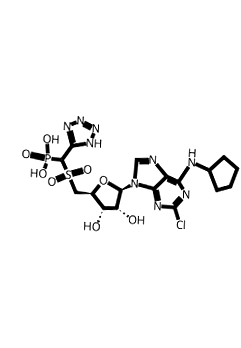 O=P(O)(O)C(c1nnn[nH]1)S(=O)(=O)C[C@H]1O[C@@H](n2cnc3c(NC4CCCC4)nc(Cl)nc32)[C@H](O)[C@@H]1O